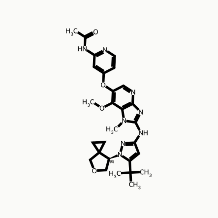 COc1c(Oc2ccnc(NC(C)=O)c2)cnc2nc(Nc3cc(C(C)(C)C)n([C@H]4COCC45CC5)n3)n(C)c12